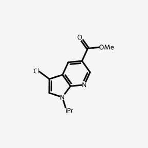 COC(=O)c1cnc2c(c1)c(Cl)cn2C(C)C